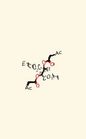 CCOC(=O)[C@@](CC)(OC(=O)CC(C)=O)[C@H](OC(=O)CC(C)=O)C(=O)O